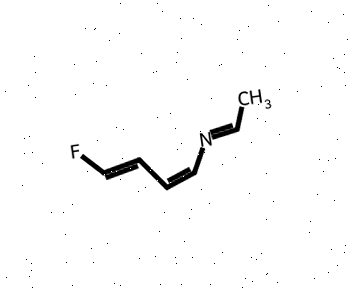 C/C=N/C=C\C=C\F